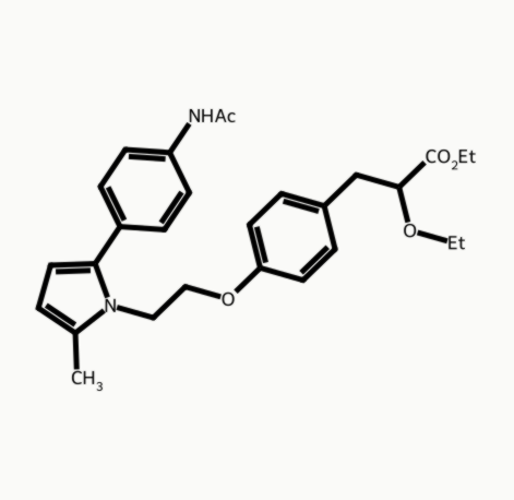 CCOC(=O)C(Cc1ccc(OCCn2c(C)ccc2-c2ccc(NC(C)=O)cc2)cc1)OCC